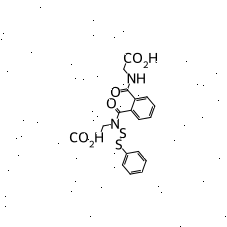 O=C(O)CNC(=O)c1ccccc1C(=O)N(CC(=O)O)SSc1ccccc1